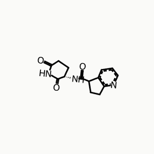 O=C1CC[C@H](NC(=O)C2CCc3ncccc32)C(=O)N1